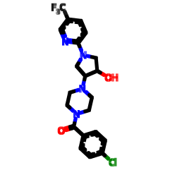 O=C(c1ccc(Cl)cc1)N1CCN(C2CN(c3ccc(C(F)(F)F)cn3)CC2O)CC1